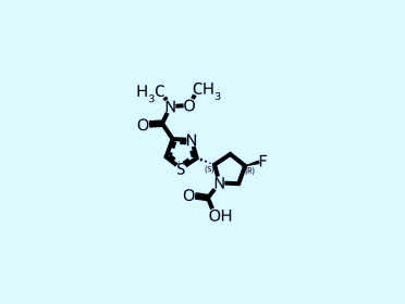 CON(C)C(=O)c1csc([C@@H]2C[C@@H](F)CN2C(=O)O)n1